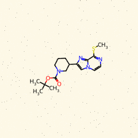 CSc1nccn2cc(C3CCCN(C(=O)OC(C)(C)C)C3)nc12